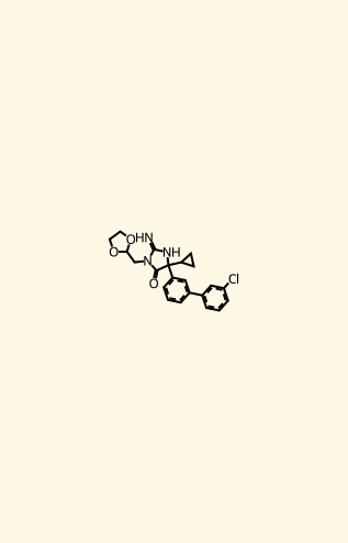 N=C1NC(c2cccc(-c3cccc(Cl)c3)c2)(C2CC2)C(=O)N1CC1OCCO1